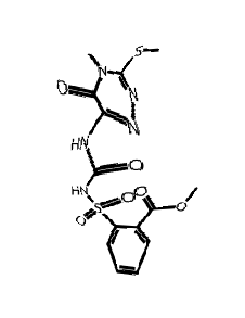 COC(=O)c1ccccc1S(=O)(=O)NC(=O)Nc1nnc(SC)n(C)c1=O